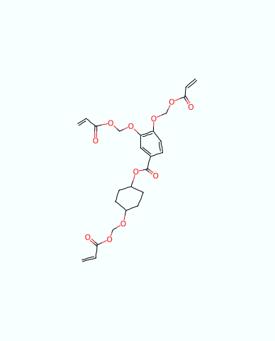 C=CC(=O)OCOc1ccc(C(=O)OC2CCC(OCOC(=O)C=C)CC2)cc1OCOC(=O)C=C